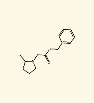 [CH2]C1CCCN1CC(=O)OCc1ccccc1